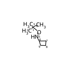 CC(C)(C)ONC1CCC1